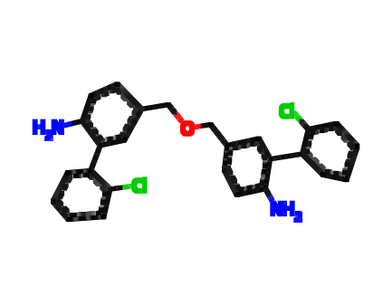 Nc1ccc(COCc2ccc(N)c(-c3ccccc3Cl)c2)cc1-c1ccccc1Cl